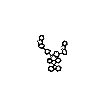 c1ccc(C2(c3ccccc3)c3ccccc3-c3c(N(c4ccc(-c5ccc6sc7ccccc7c6c5)cc4)c4ccc(-c5cccc6c5sc5ccccc56)cc4)cccc32)cc1